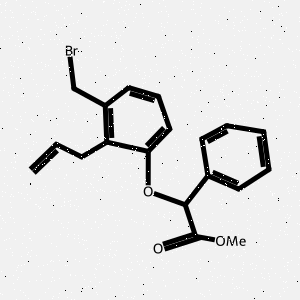 C=CCc1c(CBr)cccc1OC(C(=O)OC)c1ccccc1